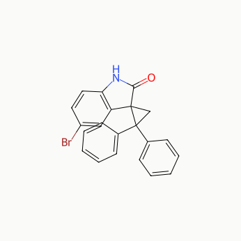 O=C1Nc2ccc(Br)cc2C12CC2(c1ccccc1)c1ccccc1